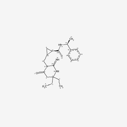 CCC1(CC)CC(=O)N(CC2C[C@H]2C(=O)N[C@@H](C)c2ccccc2)C(=N)N1